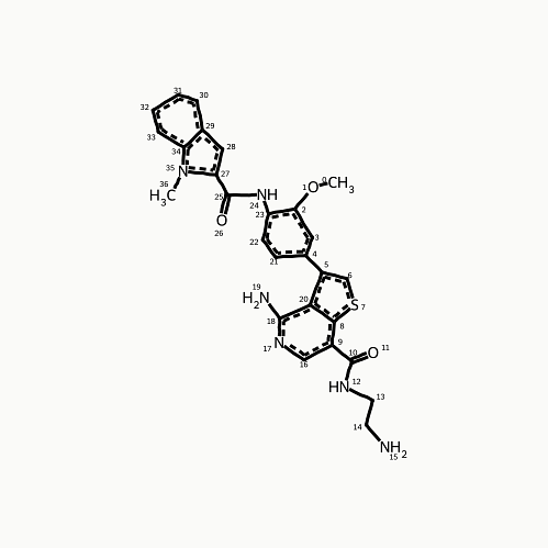 COc1cc(-c2csc3c(C(=O)NCCN)cnc(N)c23)ccc1NC(=O)c1cc2ccccc2n1C